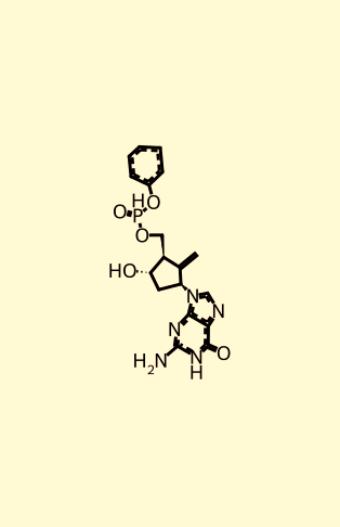 C=C1[C@H](CO[PH](=O)Oc2ccccc2)[C@@H](O)C[C@@H]1n1cnc2c(=O)[nH]c(N)nc21